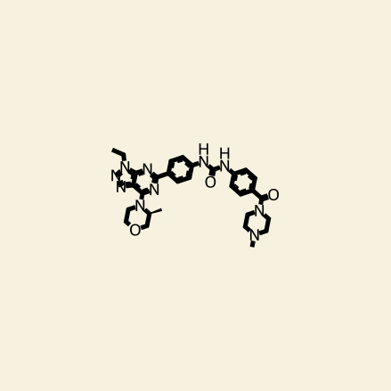 CCn1nnc2c(N3CCOC[C@@H]3C)nc(-c3ccc(NC(=O)Nc4ccc(C(=O)N5CCN(C)CC5)cc4)cc3)nc21